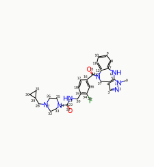 Cn1ncc2c1Nc1ccccc1N(C(=O)c1ccc(CNC(=O)N3CCN(CC4CC4)CC3)c(F)c1)C2